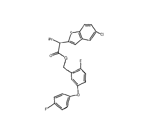 CC(C)C(C(=O)OCc1cc(Oc2ccc(F)cc2)ccc1F)c1cc2cc(Cl)ccc2s1